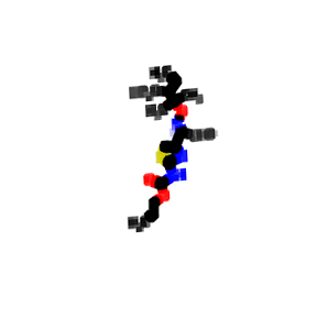 C=CCOC(=O)Nc1nc(/C([C]=O)=N/OC(C)(C)C(C=C)C(=O)O)cs1